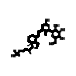 C=C1/C(=C\C=C2CCC[C@@]3(C)C2CC[C@@H]3[C@H](C)CCCC(C)(C)O)C[C@@H](O)C[C@@H]1[C@@H]1O[C@H](CO)[C@@H](O)[C@H](O)[C@H]1O